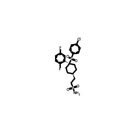 NS(=O)(=O)CC[C@H]1CC[C@@](c2cc(F)ccc2F)(S(=O)(=O)c2ccc(Cl)cc2)CC1